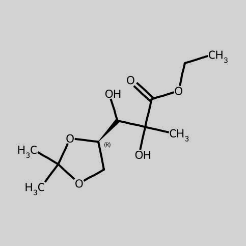 CCOC(=O)C(C)(O)C(O)[C@H]1COC(C)(C)O1